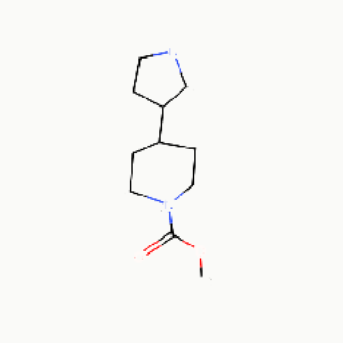 CC(C)(C)OC(=O)N1CCC(C2CCNC2)CC1